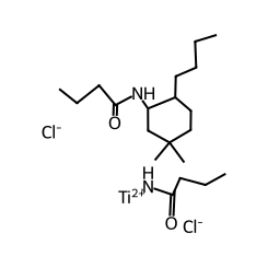 CCCC(=O)[NH][Ti+2].CCCCC1CCC(C)(C)CC1NC(=O)CCC.[Cl-].[Cl-]